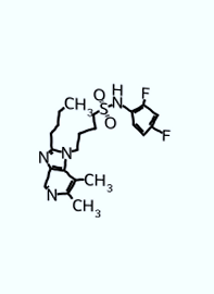 CCCCc1nc2cnc(C)c(C)c2n1CCCCS(=O)(=O)Nc1ccc(F)cc1F